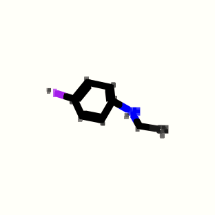 N#CCNc1ccc(I)cc1